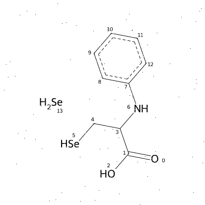 O=C(O)C(C[SeH])Nc1ccccc1.[SeH2]